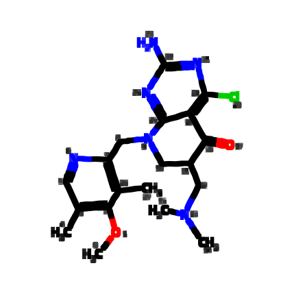 COc1c(C)cnc(CN2CC(CN(C)C)C(=O)c3c(Cl)nc(N)nc32)c1C